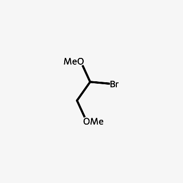 COCC(Br)OC